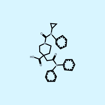 O=C(CC1(C(=O)O)CCN(C(=O)N(c2ccccc2)C2CC2)CC1)N(c1ccccc1)c1ccccc1